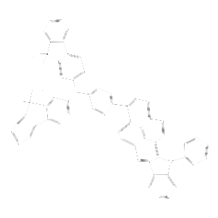 CC1(C)c2ccccc2-c2ccc(N(c3ccc(-c4ccc5ccc6c7c(ccc4c57)cc4c5ccccc5n(-c5ccccc5)c46)cc3)c3ccc4c(c3)C(C)(C)c3ccccc3-4)cc21